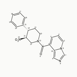 O=C(c1cccn2cncc12)N1CC[C@@H](c2ccccc2)[C@H]([N+](=O)[O-])C1